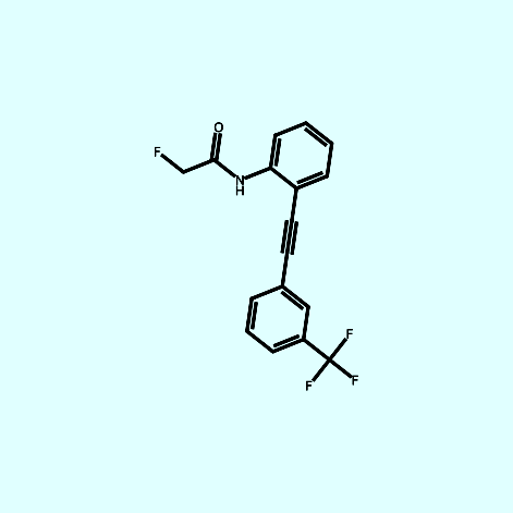 O=C(CF)Nc1ccccc1C#Cc1cccc(C(F)(F)F)c1